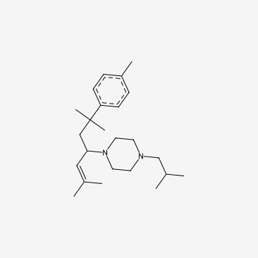 CC(C)=CC(CC(C)(C)c1ccc(C)cc1)N1CCN(CC(C)C)CC1